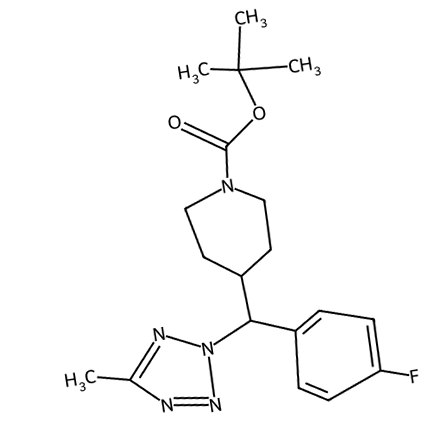 Cc1nnn(C(c2ccc(F)cc2)C2CCN(C(=O)OC(C)(C)C)CC2)n1